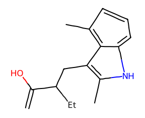 C=C(O)C(CC)Cc1c(C)[nH]c2cccc(C)c12